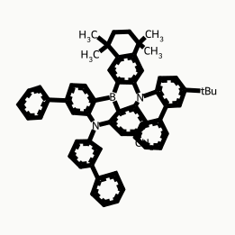 Cc1cc2c3c(c1)N(c1ccc(C(C)(C)C)cc1-c1ccccc1)c1cc4c(cc1B3c1ccc(-c3ccccc3)cc1N2c1cccc(-c2ccccc2)c1)C(C)(C)CCC4(C)C